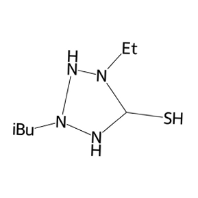 CCC(C)N1NC(S)N(CC)N1